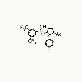 CC(=O)[C@@H]1CCC(O[C@H](C)c2cc(C(F)(F)F)cc(C(F)(F)F)c2)[C@H]1c1ccc(F)cc1